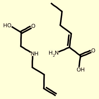 C=CCCNCC(=O)O.CCCC=C(N)C(=O)O